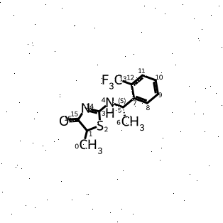 CC1SC(N[C@@H](C)c2ccccc2C(F)(F)F)=NC1=O